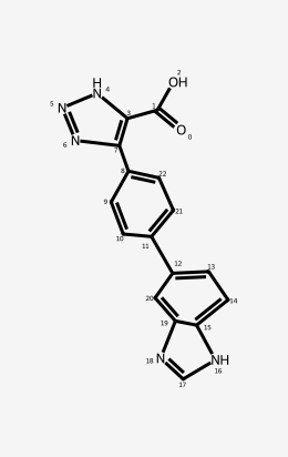 O=C(O)c1[nH]nnc1-c1ccc(-c2ccc3[nH]cnc3c2)cc1